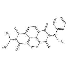 CCCC(CCC)N1C(=O)c2ccc3c4c(ccc(c24)C1=O)C(=O)N(N(C)c1ccccc1)C3=O